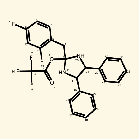 O=C(OC1(Cc2ccc(F)cc2F)NC(c2ccccc2)C(c2ccccc2)N1)C(F)(F)F